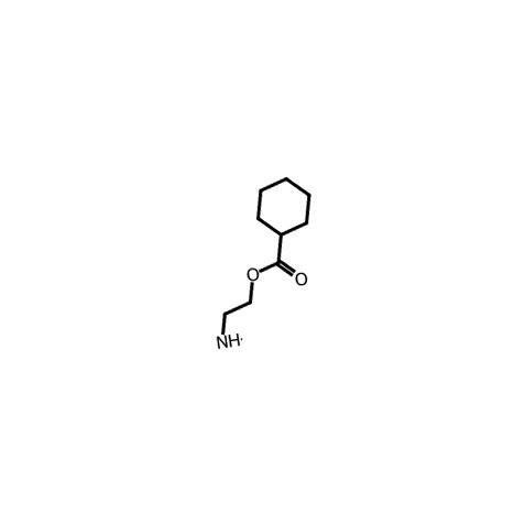 [NH]CCOC(=O)C1CCCCC1